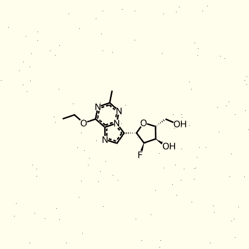 CCOc1nc(C)nn2c([C@@H]3O[C@H](CO)[C@@H](O)[C@H]3F)cnc12